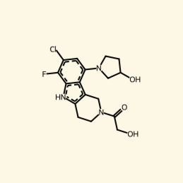 O=C(CO)N1CCc2[nH]c3c(F)c(Cl)cc(N4CCC(O)C4)c3c2C1